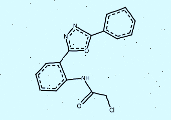 O=C(CCl)Nc1ccccc1-c1nnc(-c2ccccc2)o1